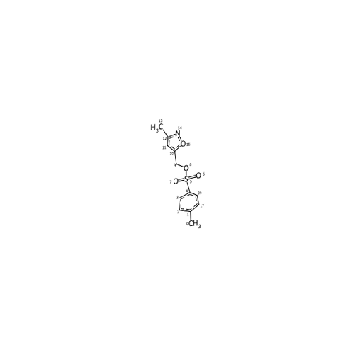 Cc1ccc(S(=O)(=O)OCc2cc(C)no2)cc1